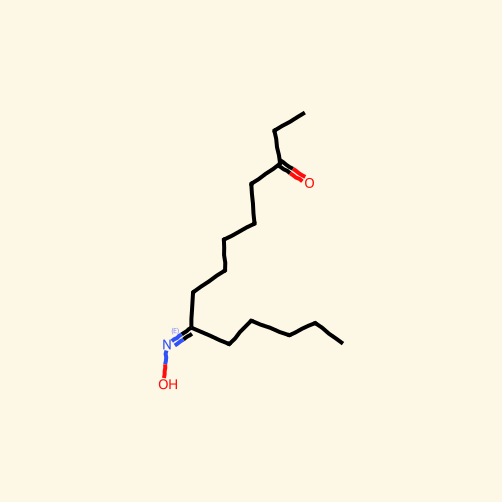 CCCCC/C(CCCCCC(=O)CC)=N\O